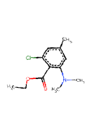 CCOC(=O)c1c(Cl)cc(C)cc1N(C)C